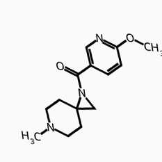 COc1ccc(C(=O)N2CC23CCN(C)CC3)cn1